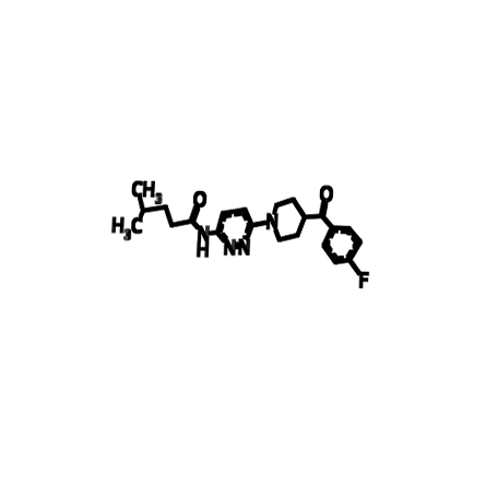 CC(C)CCC(=O)Nc1ccc(N2CCC(C(=O)c3ccc(F)cc3)CC2)nn1